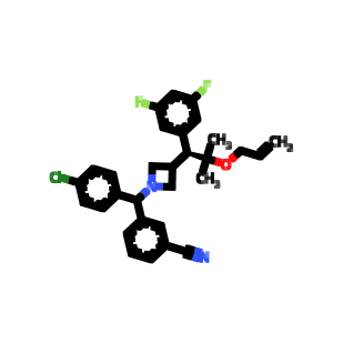 C=CCOC(C)(C)[C@H](c1cc(F)cc(F)c1)C1CN(C(c2ccc(Cl)cc2)c2cccc(C#N)c2)C1